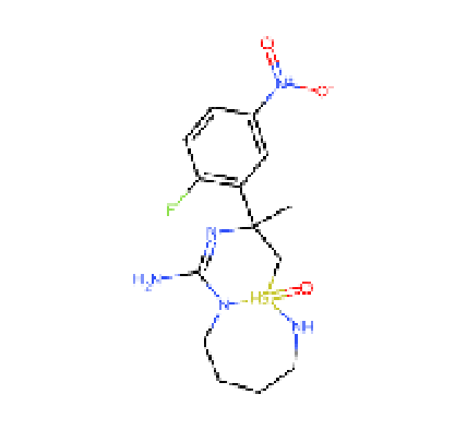 CC1(c2cc([N+](=O)[O-])ccc2F)C[SH]2(=O)NCCCCN2C(N)=N1